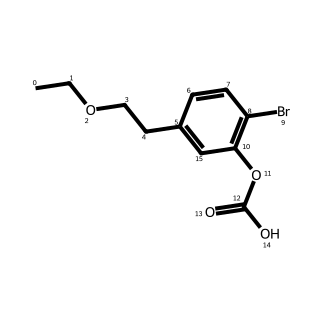 CCOCCc1ccc(Br)c(OC(=O)O)c1